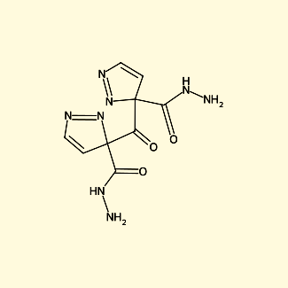 NNC(=O)C1(C(=O)C2(C(=O)NN)C=CN=N2)C=CN=N1